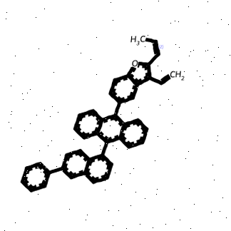 C=Cc1c(/C=C\C)oc2ccc(-c3c4ccccc4c(-c4cccc5cc(-c6ccccc6)ccc45)c4ccccc34)cc12